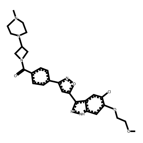 COCCOc1cc2[nH]nc(-c3cc(-c4ccc(C(=O)N5CC(N6CCN(C)CC6)C5)cc4)no3)c2cc1Cl